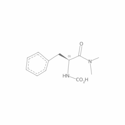 CN(C)C(=O)[C@H](Cc1ccccc1)NC(=O)O